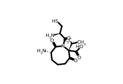 CC(C)[C@@]1(C(=O)O)C(=O)CCC[C@H](N)C(=O)N1C(=O)[C@@H](N)CS